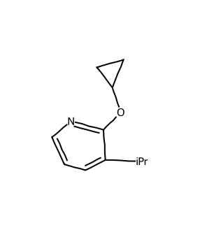 CC(C)c1cccnc1OC1CC1